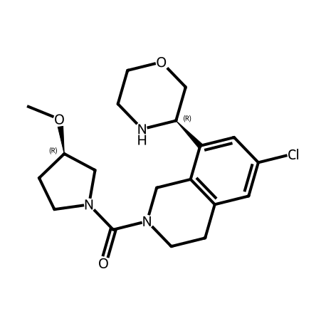 CO[C@@H]1CCN(C(=O)N2CCc3cc(Cl)cc([C@@H]4COCCN4)c3C2)C1